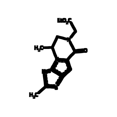 CCOC(=O)CN1CC(C)n2c(cc3sc(C)nc32)C1=O